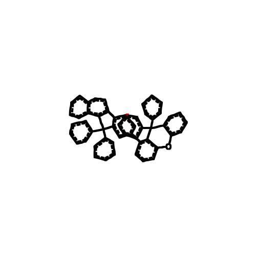 c1ccc(C2(c3ccccc3)c3ccccc3Oc3cccc(-c4ccc5c(c4)C(c4ccccc4)(c4ccccc4)c4c-5ccc5ccccc45)c32)cc1